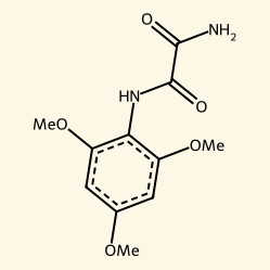 COc1cc(OC)c(NC(=O)C(N)=O)c(OC)c1